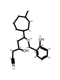 CC1CCCC(C(CC(O)CC#N)OCc2ccccc2O)CC1